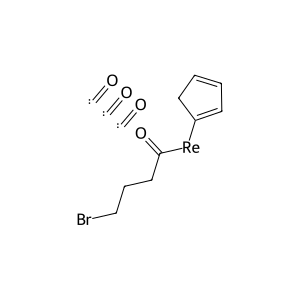 O=[C](CCCBr)[Re][C]1=CC=CC1.[C]=O.[C]=O.[C]=O